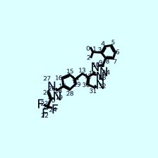 CC(C)c1ccccc1-c1nc2c(Cc3ccc(-c4nc(C(F)(F)F)cn4C)cc3)ccnn2n1